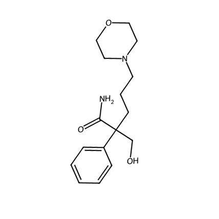 NC(=O)C(CO)(CCCN1CCOCC1)c1ccccc1